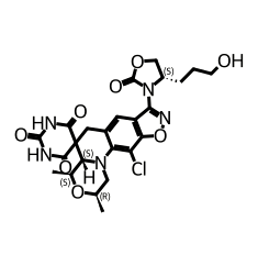 C[C@@H]1CN2c3c(cc4c(N5C(=O)OC[C@@H]5CCCO)noc4c3Cl)CC3(C(=O)NC(=O)NC3=O)[C@H]2[C@H](C)O1